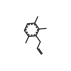 C=CCc1c(C)ccc(C)c1C